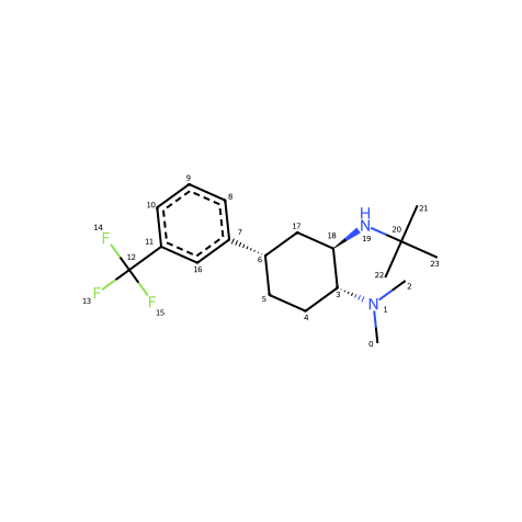 CN(C)[C@@H]1CC[C@H](c2cccc(C(F)(F)F)c2)C[C@H]1NC(C)(C)C